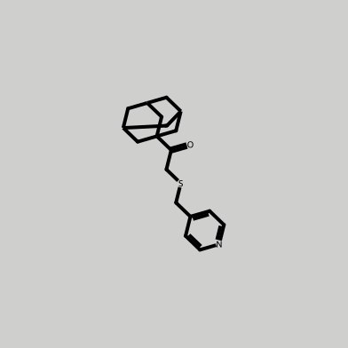 O=C(CSCc1ccncc1)C12CC3CC(CC(C3)C1)C2